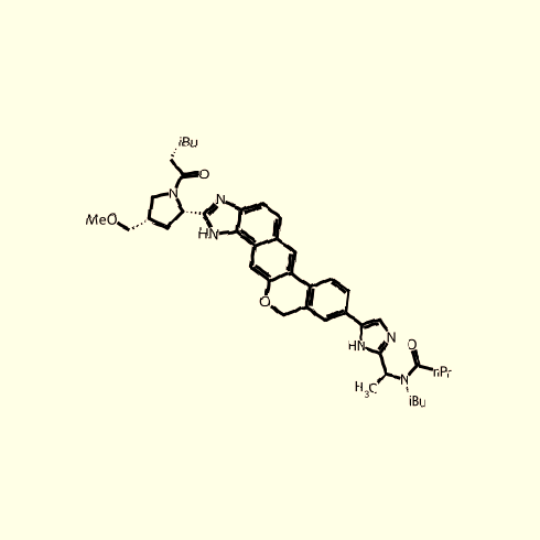 CCCC(=O)N([C@@H](C)CC)[C@@H](C)c1ncc(-c2ccc3c(c2)COc2cc4c(ccc5nc([C@@H]6C[C@H](COC)CN6C(=O)C[C@@H](C)CC)[nH]c54)cc2-3)[nH]1